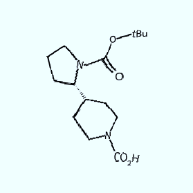 CC(C)(C)OC(=O)N1CCC[C@H]1C1CCN(C(=O)O)CC1